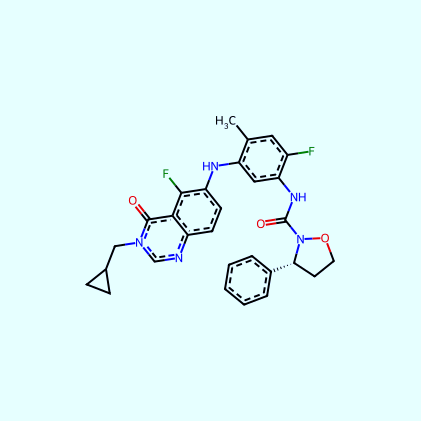 Cc1cc(F)c(NC(=O)N2OCC[C@@H]2c2ccccc2)cc1Nc1ccc2ncn(CC3CC3)c(=O)c2c1F